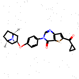 CN1[C@@H]2CC[C@H]1C[C@@H](Oc1ccc(-n3cnc4cc(C(=O)C5CC5)sc4c3=O)cc1)C2